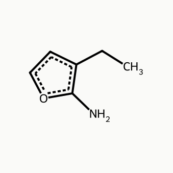 CCc1ccoc1N